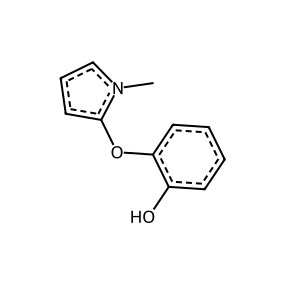 Cn1cccc1Oc1ccccc1O